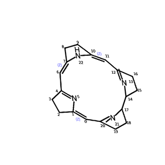 C1=C2/CCC(=N2)/C=C2/CC/C(=C/C3=NC(CC3)C3CCC/1=N3)N2